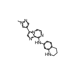 Cn1cc(-c2cnc3c(Nc4ccc5c(c4)NCCC5)nccn23)cn1